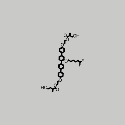 C=C(CO)C(=O)OCCOc1ccc(-c2ccc(-c3ccc(-c4ccc(OCCOC(=O)C(=C)CCO)cc4)cc3)c(OCCCCC=C(F)F)c2)cc1